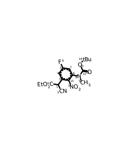 CCOC(=O)C(C#N)c1cc(F)cc(N(C)C(=O)OC(C)(C)C)c1[N+](=O)[O-]